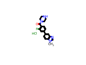 Cl.Cn1cnc2cc(-c3ccc(C(=O)N4CCNCC4)c(F)c3)ccc21